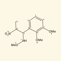 CONC(c1cccc(OC)c1OC)C(C)[N+](=O)[O-]